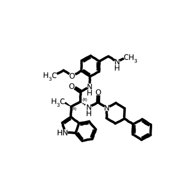 CCOc1ccc(CNC)cc1NC(=O)[C@H](NC(=O)N1CCC(c2ccccc2)CC1)[C@H](C)c1c[nH]c2ccccc12